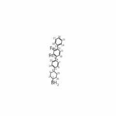 BC1CCC(c2ccc(-c3ccc(-c4ccccc4)c(F)c3F)cc2)CC1